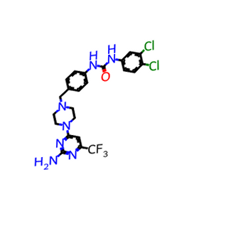 Nc1nc(N2CCN(Cc3ccc(NC(=O)Nc4ccc(Cl)c(Cl)c4)cc3)CC2)cc(C(F)(F)F)n1